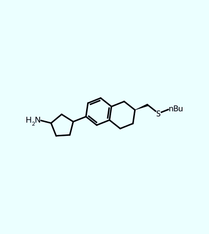 CCCCSC[C@H]1CCc2cc(C3CCC(N)C3)ccc2C1